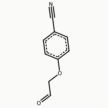 N#Cc1ccc(OCC=O)cc1